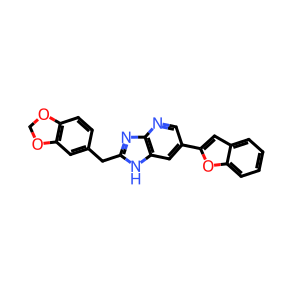 c1ccc2oc(-c3cnc4nc(Cc5ccc6c(c5)OCO6)[nH]c4c3)cc2c1